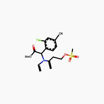 C=CN(C(=C)CCOS(C)(=O)=O)C(C(=O)OC)c1ccc(C#N)cc1F